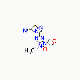 CCCn1c(=O)n(C2CCOCC2)c2nc(-c3cnc4ccc(C#N)cn34)ncc21